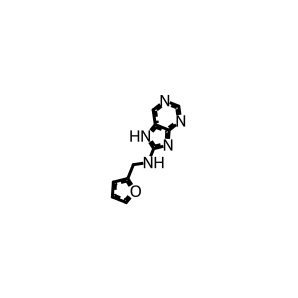 c1coc(CNc2nc3ncncc3[nH]2)c1